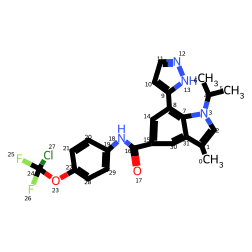 Cc1cn(C(C)C)c2c(-c3ccn[nH]3)cc(C(=O)Nc3ccc(OC(F)(F)Cl)cc3)cc12